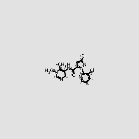 CC1=C(NC(=O)c2cc(Cl)nn2-c2ncccc2Cl)CN=CN1C